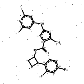 Cc1sc(Nc2cc(F)nc(F)c2)nc1C(=O)NC1CCC1c1ccc(F)cc1F